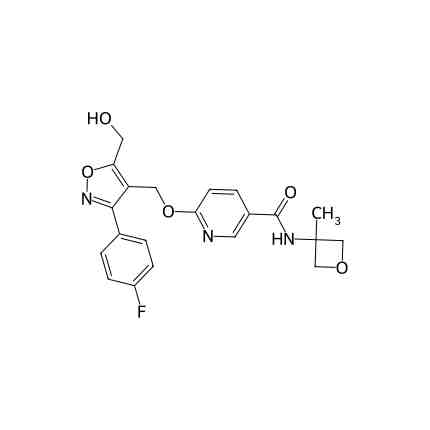 CC1(NC(=O)c2ccc(OCc3c(-c4ccc(F)cc4)noc3CO)nc2)COC1